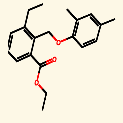 CCOC(=O)c1cccc(CC)c1COc1ccc(C)cc1C